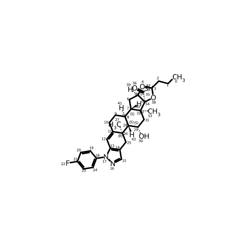 CCCC1O[C@@H]2C[C@H]3[C@@H]4CCC5=Cc6c(cnn6-c6ccc(F)cc6)C[C@]5(C)[C@H]4[C@@H](O)C[C@]3(C)[C@]2(C(=O)S)O1